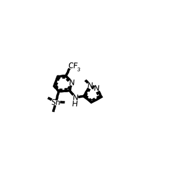 Cn1nccc1Nc1nc(C(F)(F)F)cc[c]1[Sn]([CH3])([CH3])[CH3]